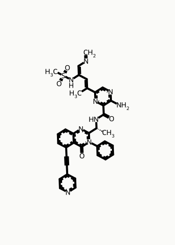 C=N/C=C(\C=C(/C)c1cnc(N)c(C(=O)N[C@H](C)c2nc3cccc(C#Cc4ccncc4)c3c(=O)n2-c2ccccc2)n1)NS(C)(=O)=O